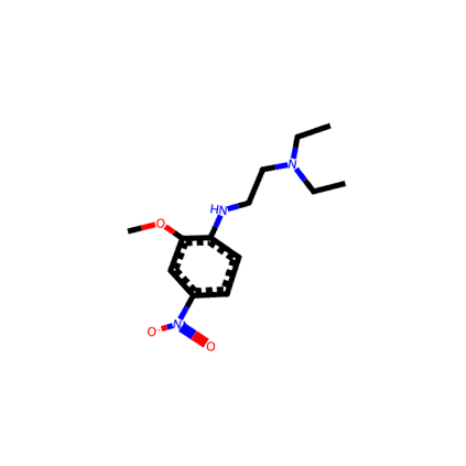 CCN(CC)CCNc1ccc([N+](=O)[O-])cc1OC